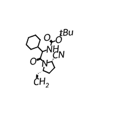 C=C[C@H]1CC[C@@H](C#N)N1C(=O)C(NC(=O)OC(C)(C)C)C1CCCCC1